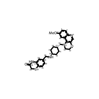 COc1ccc2ncc3c(c2c1)N(C[C@H]1CC[C@H](NCc2ccc4c(c2)NC(=O)CS4)CC1)CCO3